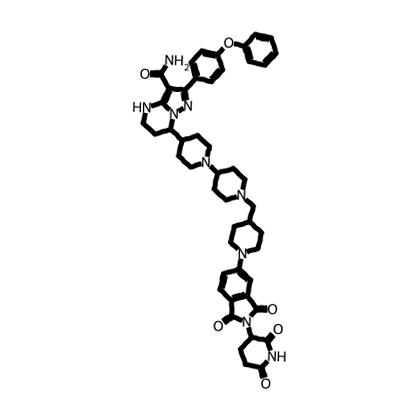 NC(=O)c1c(-c2ccc(Oc3ccccc3)cc2)nn2c1NCCC2C1CCN(C2CCN(CC3CCN(c4ccc5c(c4)C(=O)N(C4CCC(=O)NC4=O)C5=O)CC3)CC2)CC1